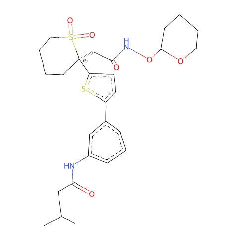 CC(C)CC(=O)Nc1cccc(-c2ccc([C@@]3(CC(=O)NOC4CCCCO4)CCCCS3(=O)=O)s2)c1